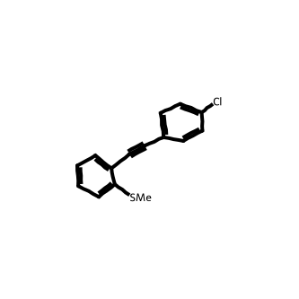 CSc1ccccc1C#Cc1ccc(Cl)cc1